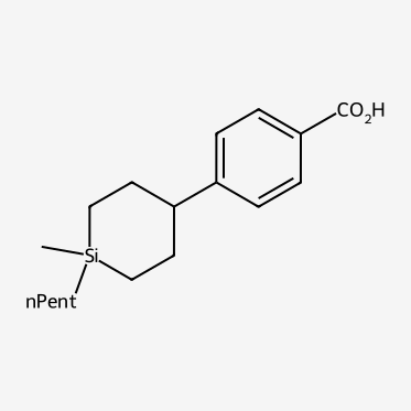 CCCCC[Si]1(C)CCC(c2ccc(C(=O)O)cc2)CC1